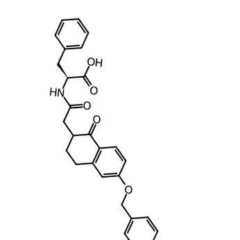 O=C(CC1CCc2cc(OCc3ccccc3)ccc2C1=O)N[C@@H](Cc1ccccc1)C(=O)O